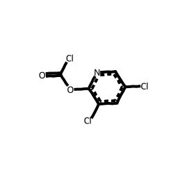 O=C(Cl)Oc1ncc(Cl)cc1Cl